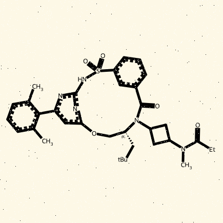 CCC(=O)N(C)C1CC(N2C(=O)c3cccc(c3)S(=O)(=O)Nc3nc(cc(-c4c(C)cccc4C)n3)OC[C@H]2CC(C)(C)C)C1